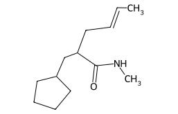 C/C=C/CC(CC1CCCC1)C(=O)NC